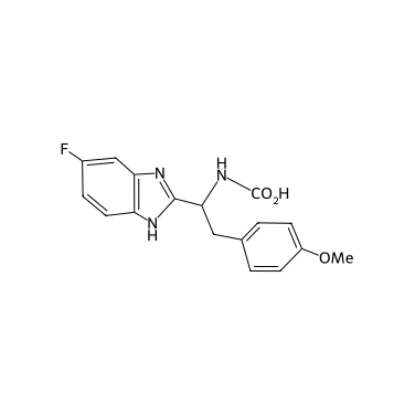 COc1ccc(CC(NC(=O)O)c2nc3cc(F)ccc3[nH]2)cc1